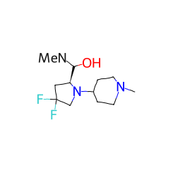 CNC(O)[C@@H]1CC(F)(F)CN1C1CCN(C)CC1